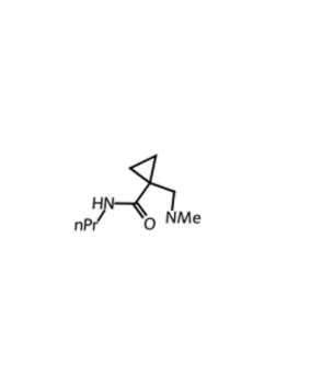 [CH2]CCNC(=O)C1(CNC)CC1